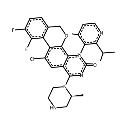 Cc1ccnc(C(C)C)c1-n1c(=O)nc(N2CCNC[C@@H]2C)c2cc(Cl)c3c(c21)OCc1ccc(F)c(F)c1-3